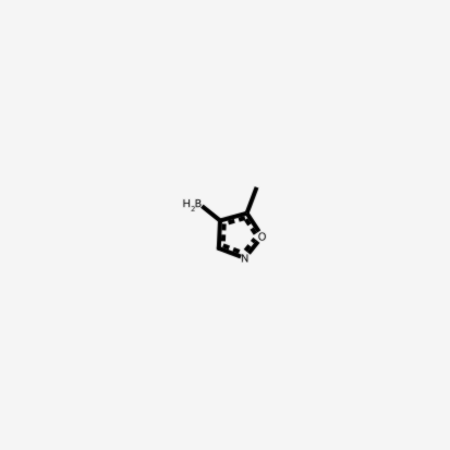 Bc1cnoc1C